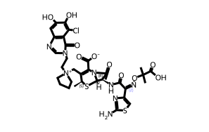 C[C@@H]1S[C@@H]2[C@H](NC(=O)/C(=N\OC(C)(C)C(=O)O)c3csc(N)n3)C(=O)N2C(C(=O)[O-])=C1C[N+]1(CCn2cnc3cc(O)c(O)c(Cl)c3c2=O)CCCC1